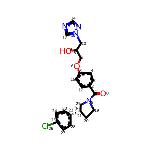 O=C(c1ccc(OCC(O)Cn2cncn2)cc1)N1CC[C@H](c2ccc(Cl)cc2)C1